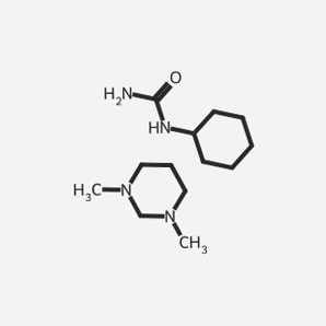 CN1CCCN(C)C1.NC(=O)NC1CCCCC1